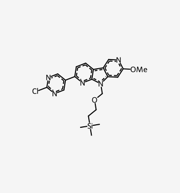 COc1cc2c(cn1)c1ccc(-c3cnc(Cl)nc3)nc1n2COCC[Si](C)(C)C